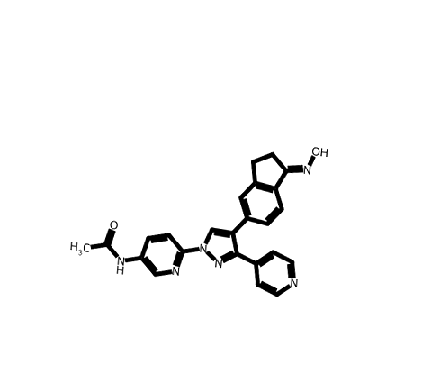 CC(=O)Nc1ccc(-n2cc(-c3ccc4c(c3)CCC4=NO)c(-c3ccncc3)n2)nc1